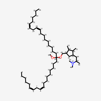 CCCCC/C=C\C/C=C\CCCCCCCCC(CCCCCCCC/C=C\C/C=C\CCCCC)(OC)OCC1CC(CC(C)N(C)C)C(C)C1C